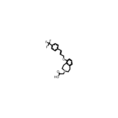 O=C(O)CN1CCc2cccc(OC/C=C/c3ccc(C(F)(F)F)cc3)c2CC1